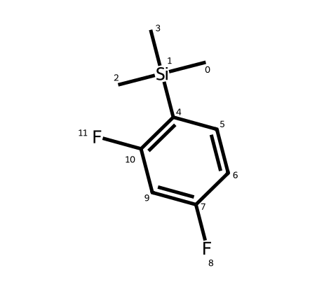 C[Si](C)(C)c1ccc(F)cc1F